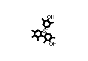 Cc1cc2c(c(C)c1C)c1c(C)c(O)c(C)cc1[s+]2-c1cc(C)c(O)c(C)c1